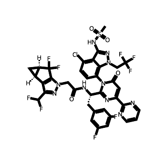 CS(=O)(=O)Nc1nn(CC(F)(F)F)c2c(-n3c([C@H](Cc4cc(F)cc(F)c4)NC(=O)Cn4nc(C(F)F)c5c4C(F)(F)[C@@H]4C[C@H]54)nc(-c4ncccn4)cc3=O)ccc(Cl)c12